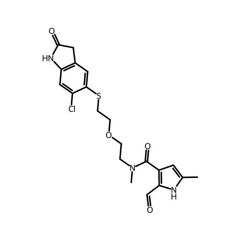 Cc1cc(C(=O)N(C)CCOCCSc2cc3c(cc2Cl)NC(=O)C3)c(C=O)[nH]1